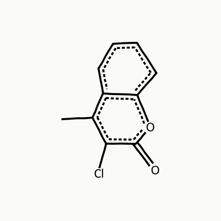 Cc1c(Cl)c(=O)oc2ccccc12